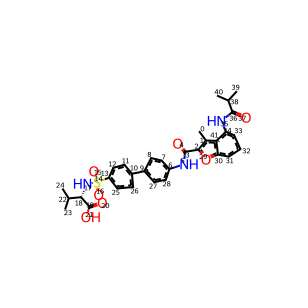 Cc1c(C(=O)Nc2ccc(-c3ccc(S(=O)(=O)N[C@H](C(=O)O)C(C)C)cc3)cc2)oc2cccc(NC(=O)C(C)C)c12